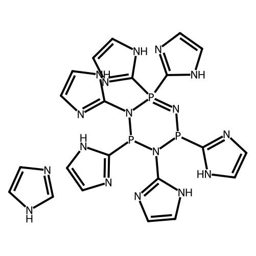 c1c[nH]c(N2P(c3ncc[nH]3)N=P(c3ncc[nH]3)(c3ncc[nH]3)N(c3ncc[nH]3)P2c2ncc[nH]2)n1.c1c[nH]cn1